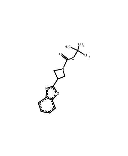 CC(C)(C)OC(=O)N1CC(c2nc3ccccc3o2)C1